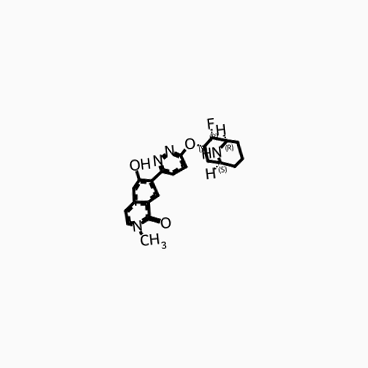 Cn1ccc2cc(O)c(-c3ccc(O[C@H]4C[C@@H]5CCC[C@@H](N5)[C@H]4F)nn3)cc2c1=O